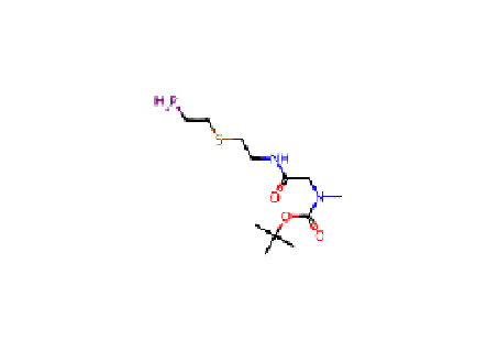 CN(CC(=O)NCCSCCP)C(=O)OC(C)(C)C